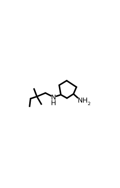 CCC(C)(C)CNC1CCCC(N)C1